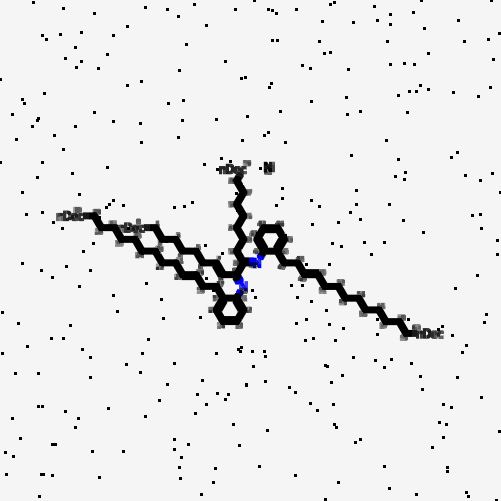 CCCCCCCCCCCCCCCCC=CC(=Nc1ccccc1CCC=CCCCCCCCCCCCCCCCCCCC)C(CCCCCCCCCCCCCCCCC)=Nc1ccccc1CCC=CCCCCCCCCCCCCCCCCCCC.[Ni]